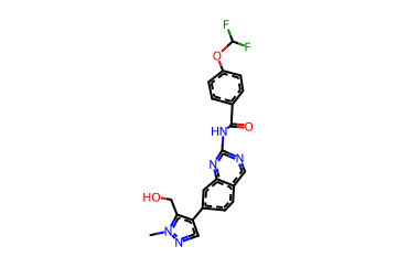 Cn1ncc(-c2ccc3cnc(NC(=O)c4ccc(OC(F)F)cc4)nc3c2)c1CO